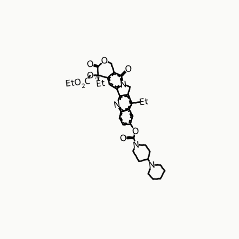 CCOC(=O)O[C@]1(CC)C(=O)OCc2c1cc1n(c2=O)Cc2c-1nc1ccc(OC(=O)N3CCC(N4CCCCC4)CC3)cc1c2CC